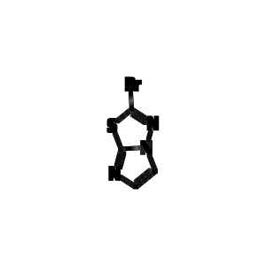 Brc1nn2ccnc2s1